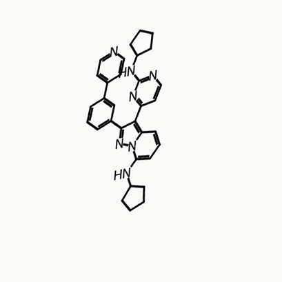 c1cc(-c2ccncc2)cc(-c2nn3c(NC4CCCC4)cccc3c2-c2ccnc(NC3CCCC3)n2)c1